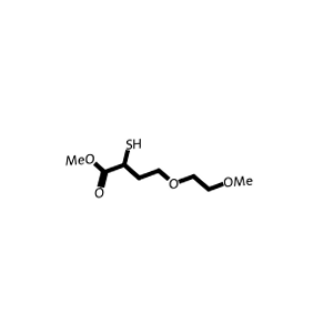 COCCOCCC(S)C(=O)OC